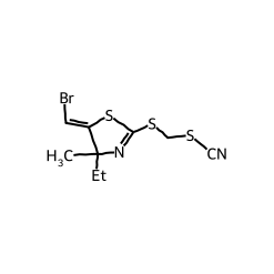 CCC1(C)N=C(SCSC#N)S/C1=C\Br